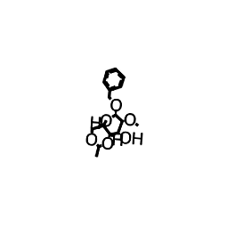 CO[C@@H]1[C@H](OCc2ccccc2)O[C@@H]2COC(C)O[C@H]2[C@H]1O